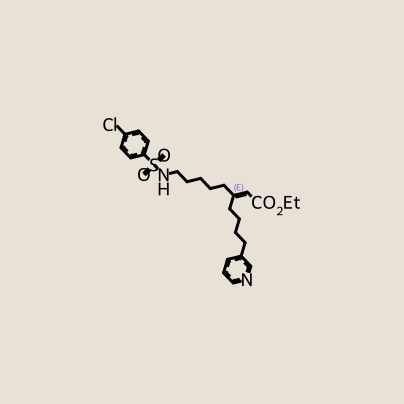 CCOC(=O)/C=C(/CCCCCNS(=O)(=O)c1ccc(Cl)cc1)CCCCc1cccnc1